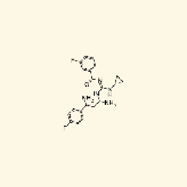 NC(CC(N)c1ccc(F)cc1)N/C(=N\C(=O)c1cccc(F)c1)NC1CC1